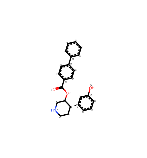 O=C(O[C@@H]1CNCC[C@H]1c1cccc(O)c1)c1ccc(-c2ccccc2)cc1